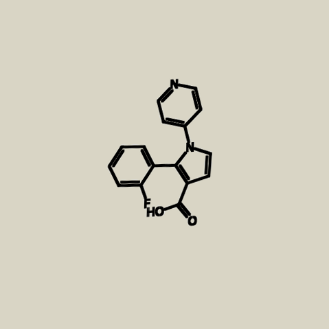 O=C(O)c1ccn(-c2ccncc2)c1-c1ccccc1F